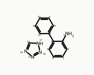 Nc1ccccc1-c1ccccc1.c1nnn[nH]1